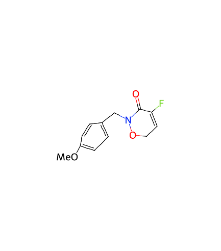 COc1ccc(CN2OCC=C(F)C2=O)cc1